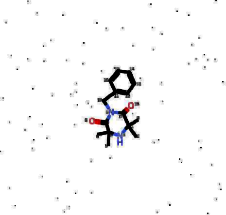 CC1(C)NC(C)(C)C(=O)N(Cc2ccccc2)C1=O